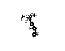 Cc1ccc(Sc2ccc(-c3ccc(CCC(N)(CO)CO)cc3)c(F)c2)c(F)c1